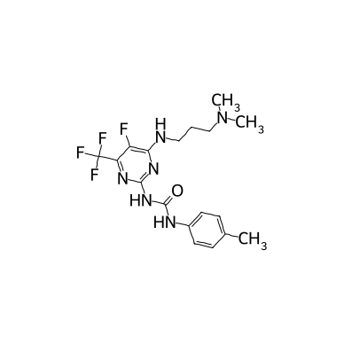 Cc1ccc(NC(=O)Nc2nc(NCCCN(C)C)c(F)c(C(F)(F)F)n2)cc1